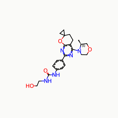 C[C@H]1COCCN1c1nc(-c2ccc(NC(=O)NCCO)cc2)nc2c1CCC1(CC1)O2